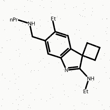 CCCNCc1cc2c(cc1CC)C1(CCC1)C(NCC)=N2